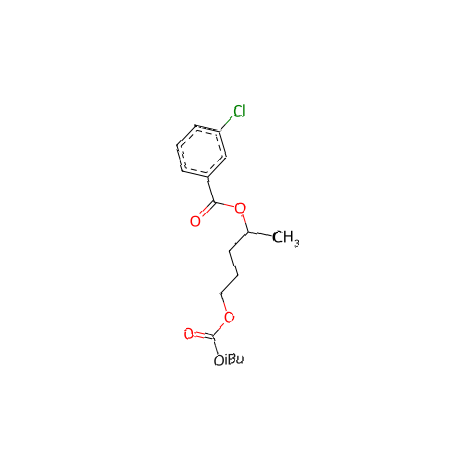 CC(C)COC(=O)OCCCC(C)OC(=O)c1cccc(Cl)c1